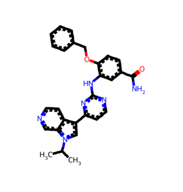 CC(C)n1cc(-c2ccnc(Nc3cc(C(N)=O)ccc3OCc3ccccc3)n2)c2ccncc21